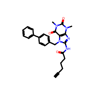 C#CCCCC(=O)Nc1nc2c(c(=O)n(C)c(=O)n2C)n1Cc1ccc(-c2ccccc2)cc1